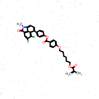 C=C(C)C(=O)OCCCCCCOc1ccc(C(=O)Oc2ccc(-c3ccc4c5c(cc(F)c(F)c35)C(=O)N4C)cc2)cc1